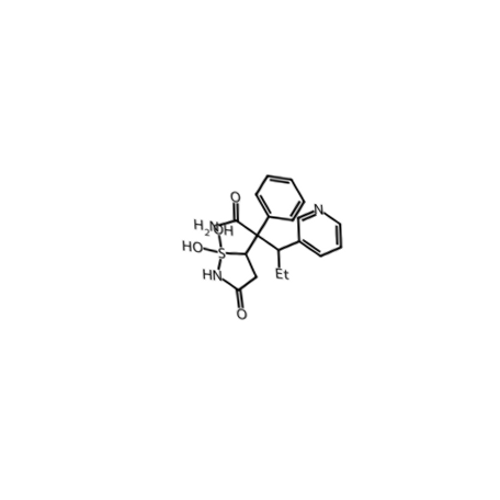 CCC(c1cccnc1)C(C(N)=O)(c1ccccc1)C1CC(=O)NS1(O)O